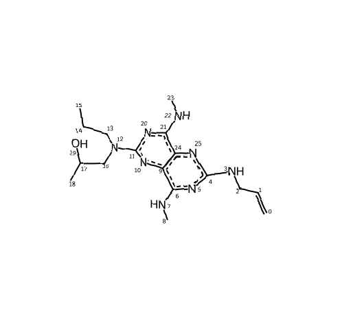 C=CCNc1nc(NC)c2nc(N(CCC)CC(C)O)nc(NC)c2n1